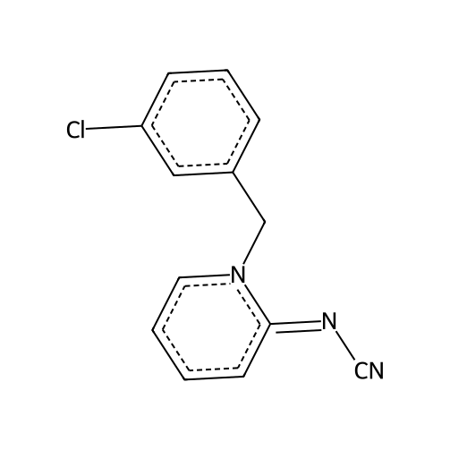 N#C/N=c1\ccccn1Cc1cccc(Cl)c1